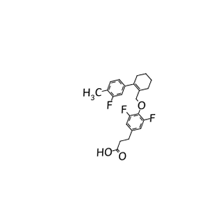 Cc1ccc(C2=C(COc3c(F)cc(CCC(=O)O)cc3F)CCCC2)cc1F